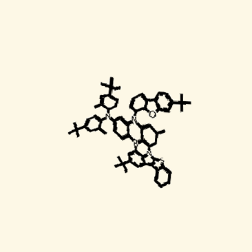 CC1=CC(C(C)(C)C)=CCC1N(C1=CCC2B3C4=C(CC(C)CC4N(C4C=CC=C5c6ccc(C(C)(C)C)cc6OC54)C2=C1)n1c2sc4c(c2c2cc(C(C)(C)C)cc3c21)=CCCC=4)C1=CC=C(C(C)(C)C)CC1C